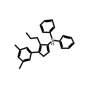 CCCC1=C(c2cc(C)cc(C)c2)CC=C1[SiH](c1ccccc1)c1ccccc1